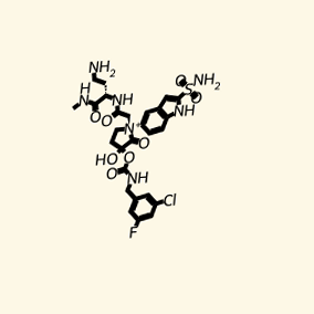 CNC(=O)[C@H](CCN)NC(=O)C[N@+]1(c2ccc3[nH]c(S(N)(=O)=O)cc3c2)CCC(O)(OC(=O)NCc2cc(F)cc(Cl)c2)C1=O